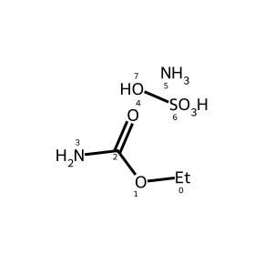 CCOC(N)=O.N.O=S(=O)(O)O